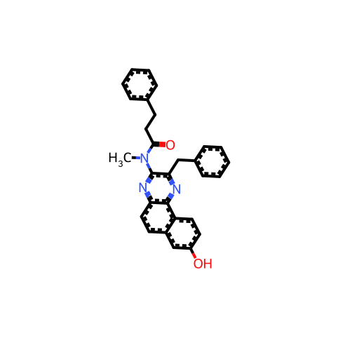 CN(C(=O)CCc1ccccc1)c1nc2ccc3cc(O)ccc3c2nc1Cc1ccccc1